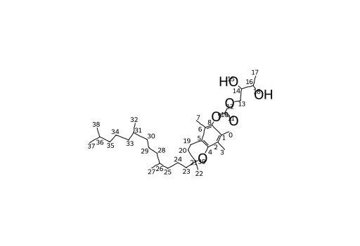 Cc1c(C)c2c(c(C)c1OC(=O)OCC(O)C(C)O)CCC(C)(CCCC(C)CCCC(C)CCCC(C)C)O2